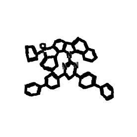 O=P1(c2ccccc2)c2ccccc2-c2c1ccc1c3ccc4ccccc4c3n(-c3nc(-c4ccc(-c5ccccc5)cc4)cc(-c4ccc(-c5ccccc5)cc4)n3)c21